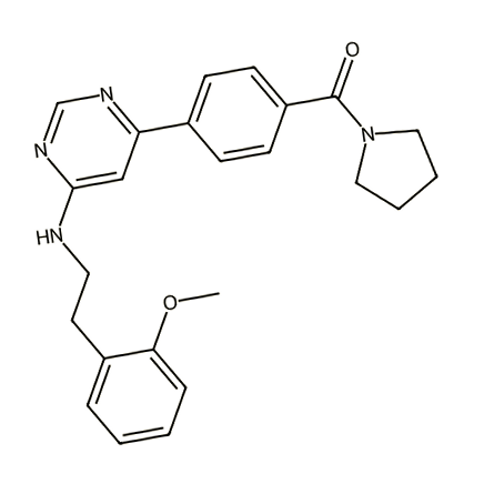 COc1ccccc1CCNc1cc(-c2ccc(C(=O)N3CCCC3)cc2)ncn1